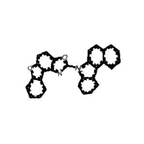 c1ccc2c(c1)ccc1c2c2ccccc2n1-c1nc2c(ccc3oc4ccccc4c32)o1